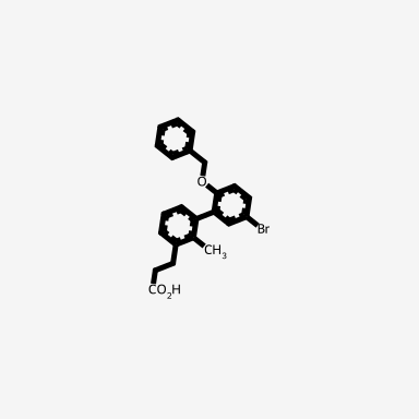 Cc1c(CCC(=O)O)cccc1-c1cc(Br)ccc1OCc1ccccc1